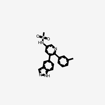 Cc1cccc(-c2ncc(NS(C)(=O)=O)cc2-c2ccc3[nH]ncc3c2)c1